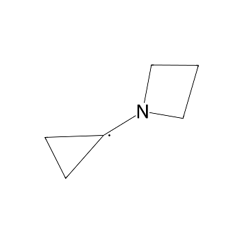 C1CN([C]2CC2)C1